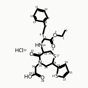 CCOC(=O)[C@@H](CCc1ccccc1)NC1CSC(c2cccs2)CN(CC(=O)O)C1=O.Cl